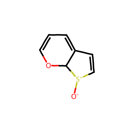 [O-][S+]1C=CC2=CC=COC21